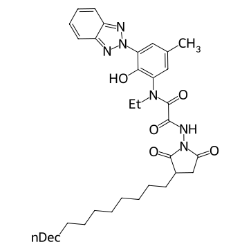 CCCCCCCCCCCCCCCCCCC1CC(=O)N(NC(=O)C(=O)N(CC)c2cc(C)cc(-n3nc4ccccc4n3)c2O)C1=O